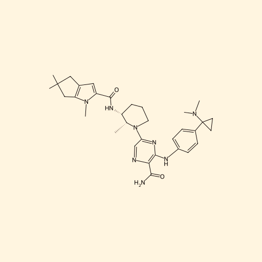 C[C@@H]1[C@H](NC(=O)c2cc3c(n2C)CC(C)(C)C3)CCCN1c1cnc(C(N)=O)c(Nc2ccc(C3(N(C)C)CC3)cc2)n1